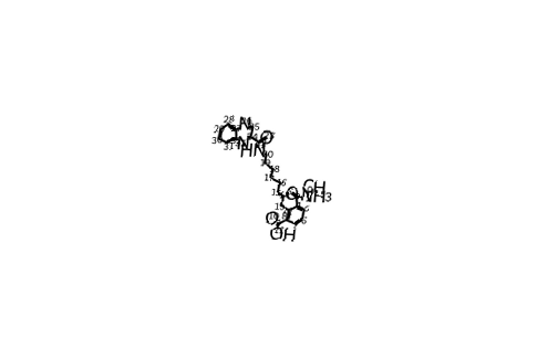 CNC(=O)c1cccc(C(=O)O)c1CCCCCCCCNC(=O)c1cnc2ccccc2n1